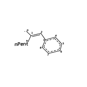 [CH2]/C(=C/c1ccccc1)CCCCC